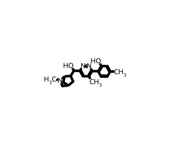 Cc1ccc(-c2nnc(C(O)C3CC4CC3N(C)C4)cc2C)c(O)c1